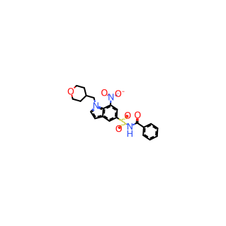 O=C(NS(=O)(=O)c1cc([N+](=O)[O-])c2c(ccn2CC2CCOCC2)c1)c1ccccc1